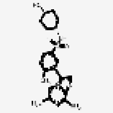 Cc1cn2c(-c3cc(S(=O)(=O)N[C@H]4CC[C@H](O)CC4)ccc3C)cnc2c(N)n1